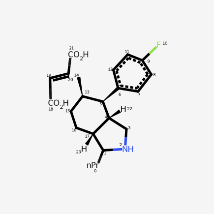 CCCC1NC[C@H]2[C@H](c3ccc(F)cc3)[C@H](C)CC[C@@H]12.O=C(O)/C=C/C(=O)O